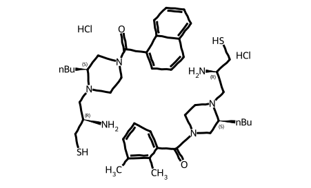 CCCC[C@H]1CN(C(=O)c2cccc(C)c2C)CCN1C[C@@H](N)CS.CCCC[C@H]1CN(C(=O)c2cccc3ccccc23)CCN1C[C@@H](N)CS.Cl.Cl